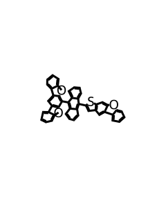 c1ccc2c(c1)oc1cc3sc(-c4c5ccccc5c(-c5c6oc7ccccc7c6cc6c5oc5ccccc56)c5ccccc45)cc3cc12